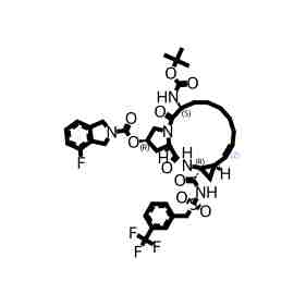 CC(C)(C)OC(=O)N[C@H]1CCCCC/C=C\[C@@H]2C[C@@]2(C(=O)NS(=O)(=O)Cc2cccc(C(F)(F)F)c2)NC(=O)[C@@H]2C[C@@H](OC(=O)N3Cc4cccc(F)c4C3)CN2C1=O